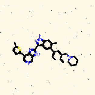 C=C/C(=C\C(=C/C)c1cc2c(-c3nc4c(-c5ccc(C)s5)cncc4[nH]3)n[nH]c2cc1C)CN1CCCCC1